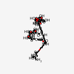 CCC(NC(CCN)C(=O)O)C(=O)CCCCCCCCCCNC(C)(CC)C(=O)C(CCCCNC(=O)COCCOCCNC(=O)C(CC(=O)O)NC(=O)C(CC(=O)O)NC(=O)C(CC(=O)O)NC(=O)C(CC(=O)O)NC(C)=O)NC(=O)COCCOCCNC(=O)C(CC(=O)O)NC(=O)C(CC(=O)O)NC(=O)C(CC(=O)O)NC(=O)CNC(C)=O